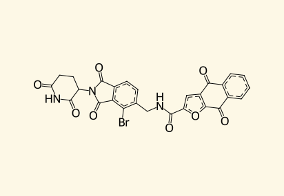 O=C1CCC(N2C(=O)c3ccc(CNC(=O)c4cc5c(o4)C(=O)c4ccccc4C5=O)c(Br)c3C2=O)C(=O)N1